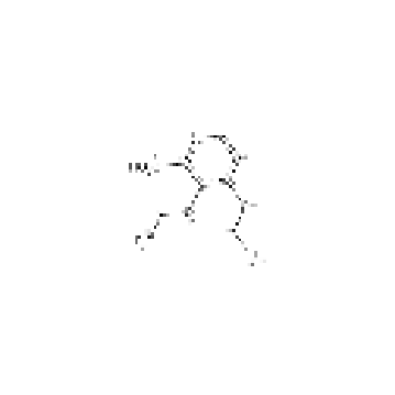 O=C(O)c1cccc(OCC(F)(F)F)c1OCC(F)(F)F